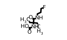 CCC(CC)(NC(=O)O)C(=O)NCCCF